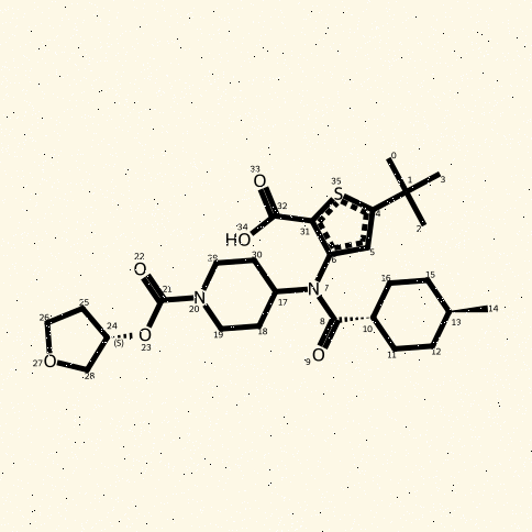 CC(C)(C)c1cc(N(C(=O)[C@H]2CC[C@H](C)CC2)C2CCN(C(=O)O[C@H]3CCOC3)CC2)c(C(=O)O)s1